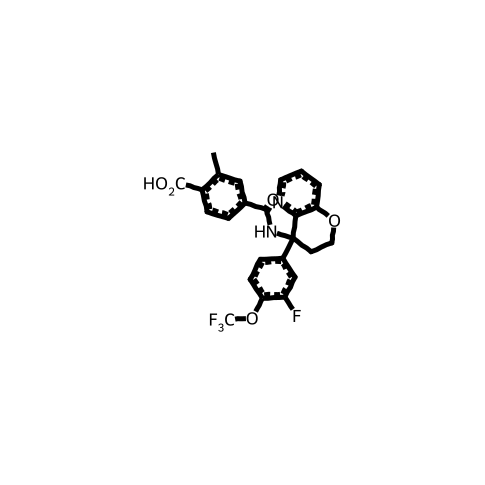 Cc1cc(C(=O)NC2(c3ccc(OC(F)(F)F)c(F)c3)CCOc3cccnc32)ccc1C(=O)O